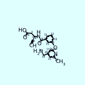 C#C[C@@H](CC(=O)O)NC(=O)c1cccc(Oc2cc(CN)cc(C)n2)c1